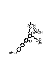 C=C(C)C(=O)OCCCc1cc(-c2ccc(-c3ccc(C4CCC(CCCCCC)CC4)cc3)cc2CC)cc(CCCOC(=O)C(=C)C)c1OCC(CC)(CO)CO